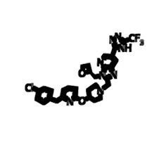 FC(F)(F)c1nnc(-c2cnc3c(c2)nc(CN2CCC(Oc4cccc(Cc5ccc(Cl)cc5)n4)CC2)n3C[C@@H]2CCO2)[nH]1